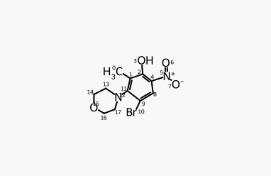 Cc1c(O)c([N+](=O)[O-])cc(Br)c1N1CCOCC1